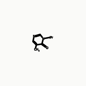 Cc1cncn(C(C)C)c1=O